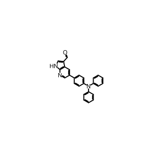 O=Cc1c[nH]c2ncc(-c3ccc(N(c4ccccc4)c4ccccc4)cc3)cc12